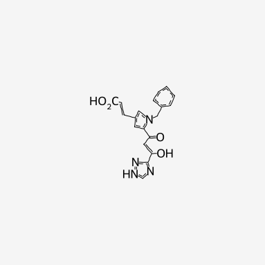 O=C(O)C=Cc1cc(C(=O)C=C(O)c2nc[nH]n2)n(Cc2ccccc2)c1